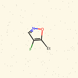 CCc1on[c]c1F